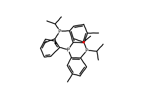 Cc1ccc(P(C(C)C)C(C)C)c(P(c2ccccc2)c2cc(C)ccc2P(C(C)C)C(C)C)c1